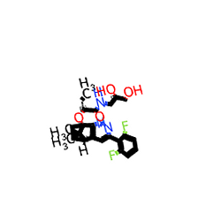 CC[C@@H](O[C@@]12CC[C@@H](c3cc(-c4c(F)cccc4F)nnc31)C2(C)C)C(=O)NC[C@@H](O)CO